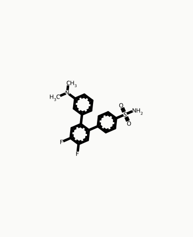 CN(C)c1cccc(-c2cc(F)c(F)cc2-c2ccc(S(N)(=O)=O)cc2)c1